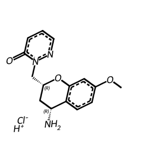 COc1ccc2c(c1)O[C@@H](Cn1ncccc1=O)C[C@H]2N.[Cl-].[H+]